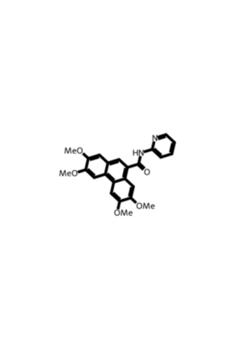 COc1cc2cc(C(=O)Nc3ccccn3)c3cc(OC)c(OC)cc3c2cc1OC